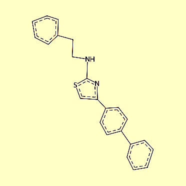 c1ccc(CCNc2nc(-c3ccc(-c4ccccc4)cc3)cs2)cc1